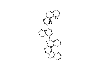 c1cnc2c(c1)ccc1ccc(-c3ccc(-c4nc5ccc6oc7ccccc7c6c5c5ccccc45)c4ccccc34)nc12